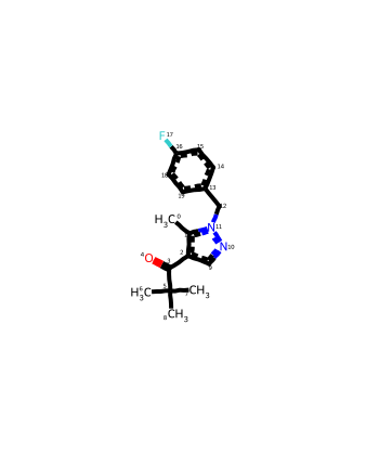 Cc1c(C(=O)C(C)(C)C)cnn1Cc1ccc(F)cc1